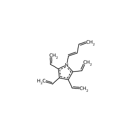 C=C/C=C/n1c(C=C)c(C=C)c(C=C)c1C=C